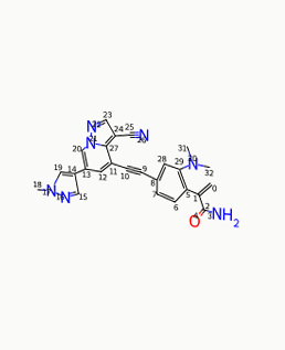 C=C(C(N)=O)c1ccc(C#Cc2cc(-c3cnn(C)c3)cn3ncc(C#N)c23)cc1N(C)C